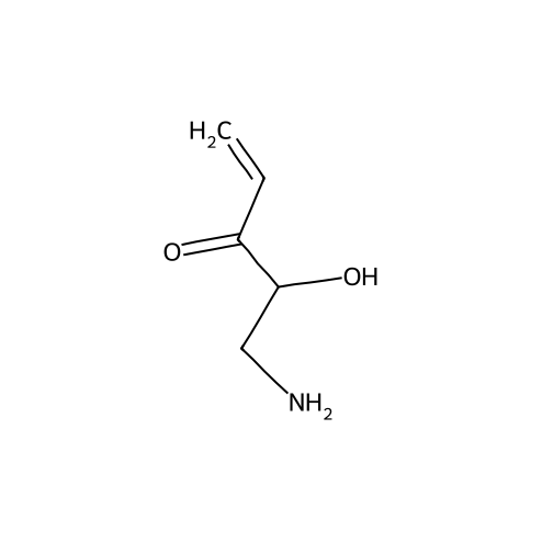 C=CC(=O)C(O)CN